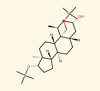 C[C@H]1C[C@H](O)C[C@@H]2CC[C@H]3[C@@H]4CC[C@H](O[Si](C)(C)C)[C@@]4(C)CC[C@@H]3[C@]21CO[Si](C)(C)C